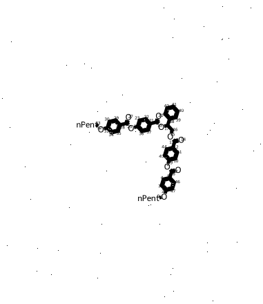 CCCCCOc1ccc(C(=O)Oc2ccc(C(=O)OCC(OC(=O)c3ccc(OC(=O)c4ccc(OCCCCC)cc4)cc3)c3ccccc3)cc2)cc1